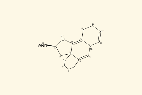 CN[C@@H]1CC23CCCCC2=CN2C=CCCC2=C3O1